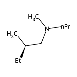 CCCN(C)C[C@H](C)CC